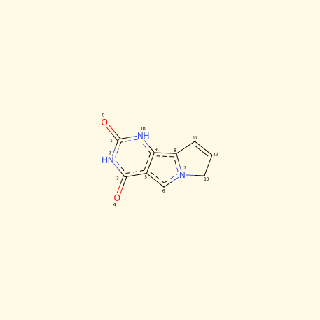 O=c1[nH]c(=O)c2cn3c(c2[nH]1)C=CC3